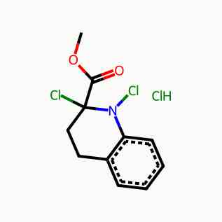 COC(=O)C1(Cl)CCc2ccccc2N1Cl.Cl